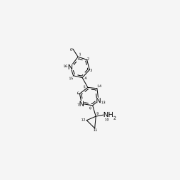 Cc1ccc(-c2cnc(C3(N)CC3)nc2)cn1